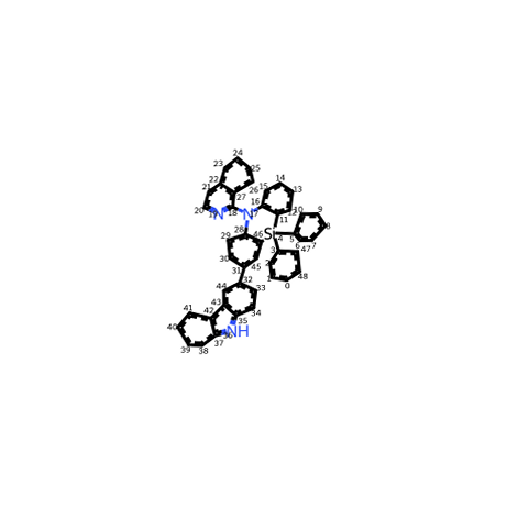 c1ccc([Si]2(c3ccccc3)c3ccccc3N(c3nccc4ccccc34)c3ccc(-c4ccc5[nH]c6ccccc6c5c4)cc32)cc1